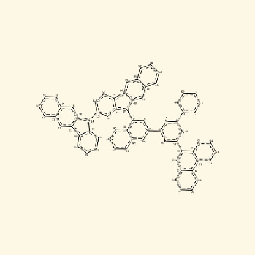 c1ccc(-c2nc(-c3cc(-n4c5cc(-n6c7ccccc7c7cc8ccccc8cc76)ccc5c5cc6ccccc6cc54)c4ccccc4c3)nc(-c3cc4ccccc4c4ccccc34)n2)cc1